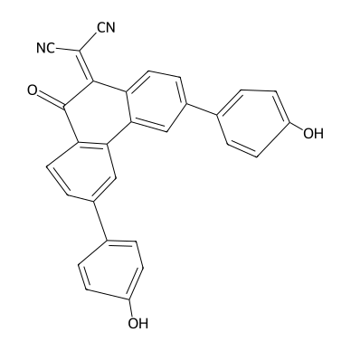 N#CC(C#N)=C1C(=O)c2ccc(-c3ccc(O)cc3)cc2-c2cc(-c3ccc(O)cc3)ccc21